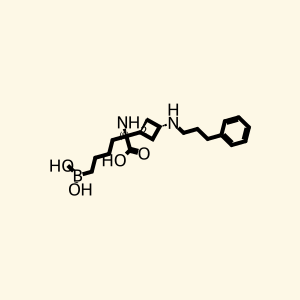 N[C@](CCCCB(O)O)(C(=O)O)[C@H]1C[C@H](NCCCc2ccccc2)C1